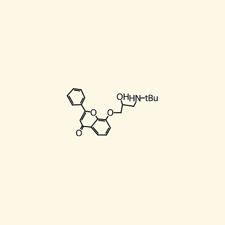 CC(C)(C)NCC(O)COc1cccc2c(=O)cc(-c3ccccc3)oc12